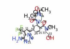 CC(=O)N1CCN(c2cc(-c3cc(C(F)(F)F)c4c(N)ncnn34)ccc2C(=O)N(C)CCO)C(=O)C1(C)C